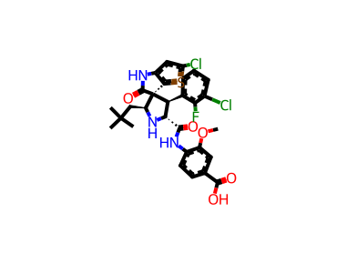 COc1cc(C(=O)O)ccc1NC(=O)[C@@H]1N[C@@H](CC(C)(C)C)[C@@]2(C(=O)Nc3cc(Cl)sc32)[C@H]1c1cccc(Cl)c1F